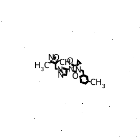 Cc1cccc(CN2C(=O)N(c3cnn(Cc4c(C)noc4C)c3)C(=O)C23CC3)c1